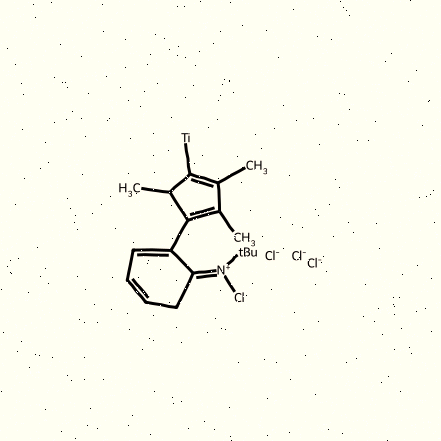 CC1=[C]([Ti])C(C)C(C2=CC=CCC2=[N+](Cl)C(C)(C)C)=C1C.[Cl-].[Cl-].[Cl-]